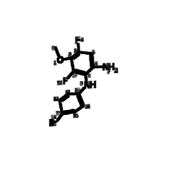 COc1c(F)cc(N)c(Nc2ccc(Br)cc2)c1F